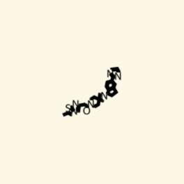 Cc1cn2cc(CC(=O)N3CCC4(CC3)CN(C3CCc5cc(-c6ncccn6)ccc53)C4)nc2s1